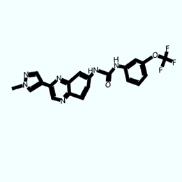 Cn1cc(-c2cnc3ccc(NC(=O)Nc4cccc(OC(F)(F)F)c4)cc3n2)cn1